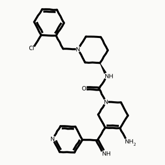 N=C(C1=C(N)CCN(C(=O)N[C@@H]2CCCN(Cc3ccccc3Cl)C2)C1)c1ccncc1